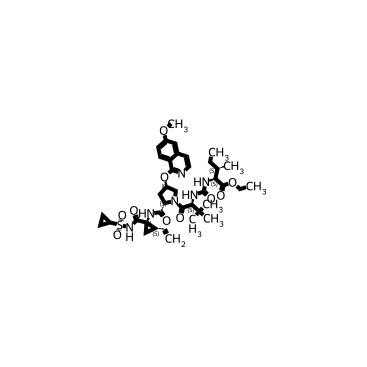 C=C[C@@H]1C[C@]1(NC(=O)[C@@H]1C[C@@H](Oc2nccc3cc(OC)ccc23)CN1C(=O)[C@@H](NC(=O)N[C@H](C(=O)OCC)[C@@H](C)CC)C(C)(C)C)C(=O)NS(=O)(=O)C1CC1